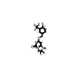 CN1c2cc(OCc3ccc(F)c(C(F)(F)F)c3)nc(=O)n2CC1(C)C